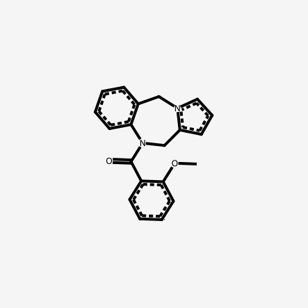 COc1c[c]ccc1C(=O)N1Cc2cccn2Cc2ccccc21